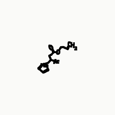 C=CCOC(=O)CC(C(C)=O)[SH]1C=CC=C1